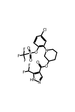 O=C(OC1CCCN(c2cc(Cl)ccc2OS(=O)(=O)C(F)(F)F)C1)c1cn[nH]c1C(F)F